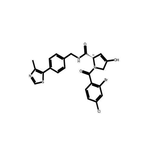 Cc1ncsc1-c1ccc(CNC(=O)[C@@H]2C=C(O)CN2C(=O)c2ccc(Cl)cc2Br)cc1